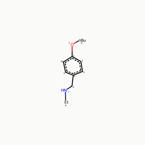 CCCCOc1ccc(CNCC)cc1